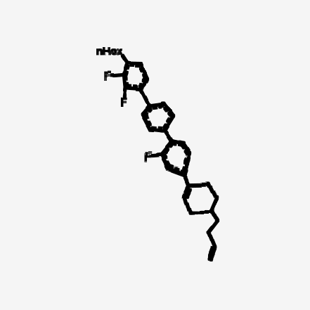 C=CCCC1CC=C(c2ccc(-c3ccc(-c4ccc(CCCCCC)c(F)c4F)cc3)c(F)c2)CC1